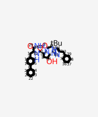 CC(C)(C)C(C(=O)N1C[C@H](O)C[C@H]1C(=O)NC(Cc1ccc(-c2ccccc2)cc1)C(N)=O)n1cc(Cc2ccccc2)nn1